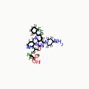 Cc1ccnc(C(C)C)c1-n1c(=O)nc(N2CCC(N)CC2)c2cc(F)c(-c3ccccc3F)nc21.O=C(O)C(F)(F)F